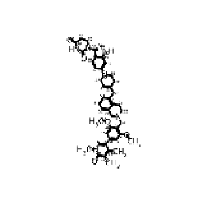 COc1cc(-c2cn(C)c(=O)c(C)c2C)cc(OC)c1CN1CCc2c(CC3CCN(c4ccc5c(N6CCC(=O)NC6=O)n[nH]c5c4)CC3)cccc2C1